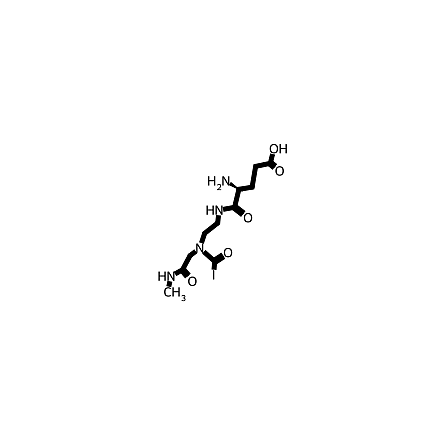 CNC(=O)CN(CCNC(=O)[C@@H](N)CCC(=O)O)C(=O)I